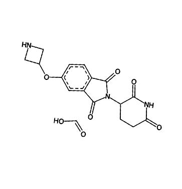 O=C1CCC(N2C(=O)c3ccc(OC4CNC4)cc3C2=O)C(=O)N1.O=CO